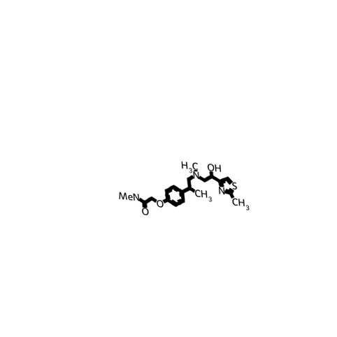 CNC(=O)COc1ccc(C(C)CN(C)CC(O)c2csc(C)n2)cc1